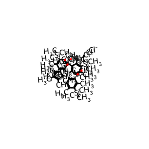 CC1=C(C)C(C)([Si](c2cc(C)c([Si](C)(C)C)c(C)c2[Si](C)(C)C)(c2cc(C)c([Si](C)(C)C)c(C)c2[Si](C)(C)C)c2cc(C)c([Si](C)(C)C)c(C)c2[Si](C)(C)C)[C]([Ti+3])=C1C.[Cl-].[Cl-].[Cl-]